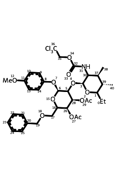 CCC1O[C@@H](OC2[C@H](Oc3ccc(OC)cc3)OC(COCc3ccccc3)[C@H](OC(C)=O)[C@@H]2OC(C)=O)C(NC(=O)OCC(Cl)(Cl)Cl)[C@@H](C)[C@@H]1C